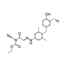 [2H]Cc1cc(Cc2c(C)cc(NN=CC(=O)N(C#N)C(=O)OCC)cc2C)ccc1O